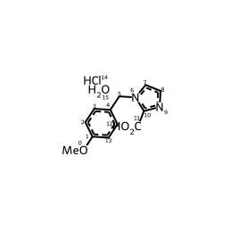 COc1ccc(Cn2ccnc2C(=O)O)cc1.Cl.O